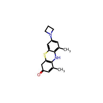 CC1=CC(=O)CC2=C1Nc1c(C)cc(N3CCC3)cc1S2